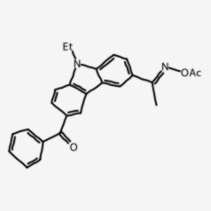 CCn1c2ccc(C(=O)c3ccccc3)cc2c2cc(C(C)=NOC(C)=O)ccc21